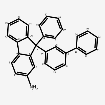 Nc1ccc2c(c1)C(c1ccccc1)(c1cccc(-c3ccccc3)c1)c1ccccc1-2